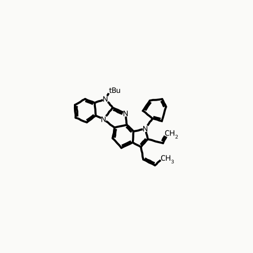 C=Cc1c(/C=C\C)c2ccc3c(nc4n(C(C)(C)C)c5ccccc5n34)c2n1-c1ccccc1